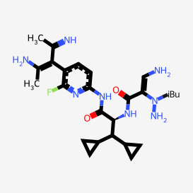 CCC(C)N(N)/C(=C\N)C(=O)N[C@H](C(=O)Nc1ccc(/C(C(C)=N)=C(\C)N)c(F)n1)C(C1CC1)C1CC1